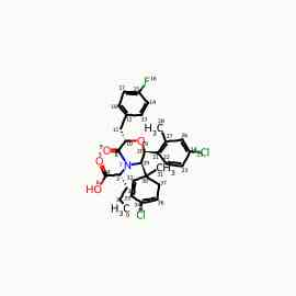 CCC[C@H](C(=O)O)N1C(=O)[C@H](Cc2ccc(F)cc2)O[C@@H](c2ccc(Cl)cc2C)[C@H]1C1(C)C=CC(Cl)=CC1